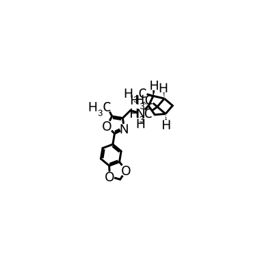 Cc1oc(-c2ccc3c(c2)OCO3)nc1CN[C@@H]1C[C@@H]2C[C@H]([C@H]1C)C2(C)C